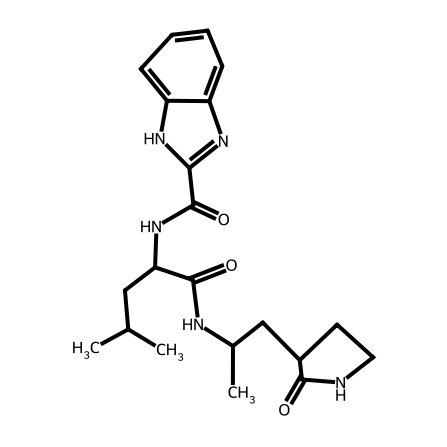 CC(C)CC(NC(=O)c1nc2ccccc2[nH]1)C(=O)NC(C)CC1CCNC1=O